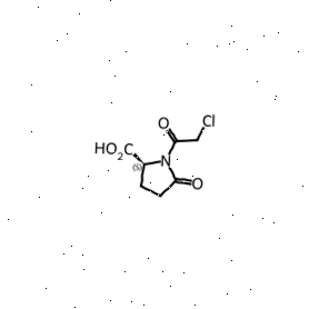 O=C(O)[C@@H]1CCC(=O)N1C(=O)CCl